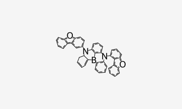 C1=CCC2C(=C1)B1c3ccccc3N(c3cccc4oc5ccccc5c34)c3cccc(c31)N2c1ccc2oc3ccccc3c2c1